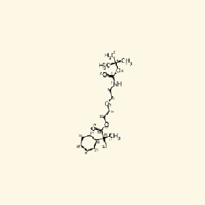 CC(C)(C)OC(=O)NCCOCCOC(=O)C(C)(I)C1CCCCC1